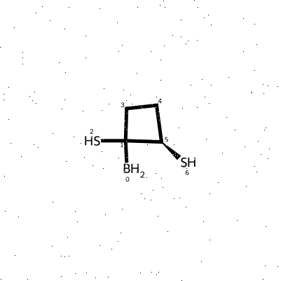 BC1(S)CC[C@H]1S